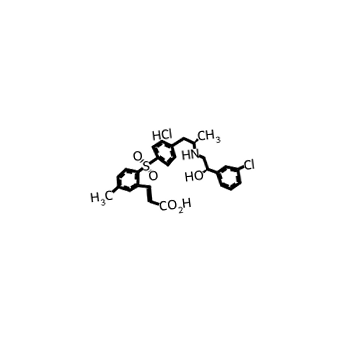 Cc1ccc(S(=O)(=O)c2ccc(C[C@@H](C)NC[C@H](O)c3cccc(Cl)c3)cc2)c(C=CC(=O)O)c1.Cl